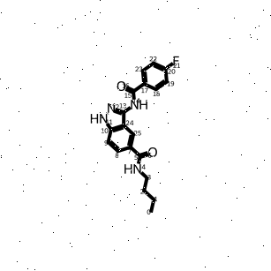 CCCCNC(=O)c1ccc2[nH]nc(NC(=O)c3ccc(F)cc3)c2c1